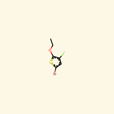 CCOc1sc(Br)cc1F